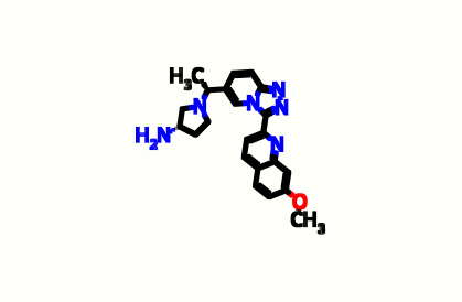 COc1ccc2ccc(-c3nnc4ccc([C@H](C)N5CC[C@H](N)C5)cn34)nc2c1